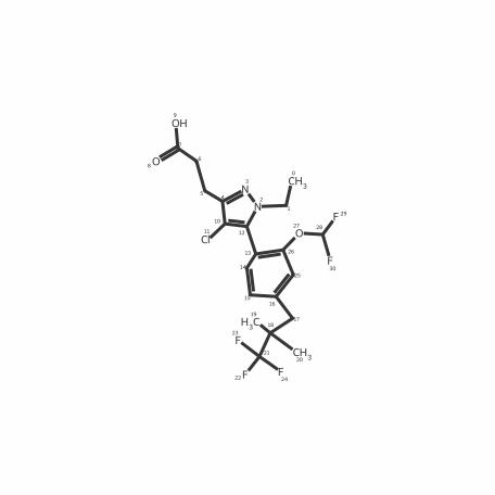 CCn1nc(CCC(=O)O)c(Cl)c1-c1ccc(CC(C)(C)C(F)(F)F)cc1OC(F)F